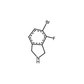 Fc1c(Br)ccc2c1CNC2